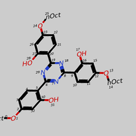 CCCCCCCCOc1ccc(-c2nc(-c3ccc(OCCCCCCCC)cc3O)nc(-c3ccc(OCCCCCCCC)cc3O)n2)c(O)c1